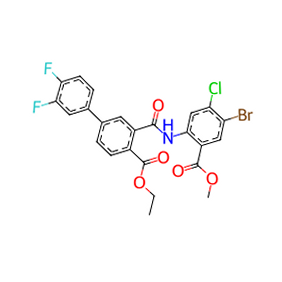 CCOC(=O)c1ccc(-c2ccc(F)c(F)c2)cc1C(=O)Nc1cc(Cl)c(Br)cc1C(=O)OC